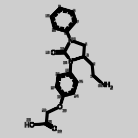 NCCC1CN(c2ccccc2)C(=O)N1c1ccc(OCC(=O)O)cc1